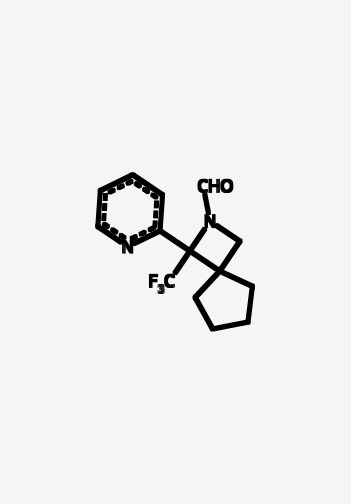 O=CN1CC2(CCCC2)C1(c1ccccn1)C(F)(F)F